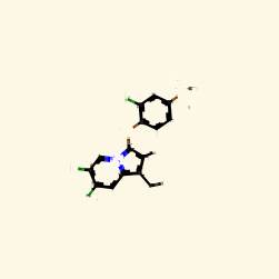 CCOC(=O)Cc1c(C)c(Sc2ccc(S(C)(=O)=O)cc2Cl)n2cc(F)c(Cl)cc12